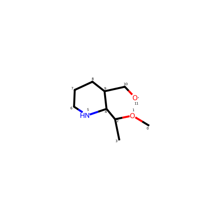 COC(C)C1NCCCC1C[O]